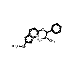 CN(C)C(Oc1ccc2nc(NC(=O)O)cn2n1)c1ccccc1